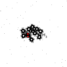 CC1C=CC=CC1N(c1ccccc1)c1ccc2c(c1)C1(c3ccccc3-c3ccccc31)c1c-2n(-c2nc(-c3ccccc3)nc(-c3ccccc3)n2)c2c(N(c3ccccc3)c3ccccc3)cccc12